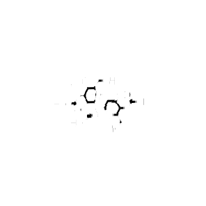 CC[C@H]1O[C@H](O[C@H]2O[C@H](CO)C(OC(C)=O)[C@H](C)[C@H]2C)[C@H](OC(C)=O)[C@@H](OC(C)=O)[C@@H]1C